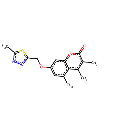 Cc1nnc(COc2cc(C)c3c(C)c(C)c(=O)oc3c2)s1